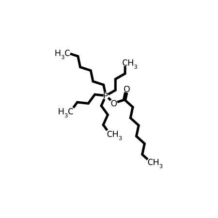 CCCCCCCC(=O)OP(CCCC)(CCCC)(CCCC)CCCCCC